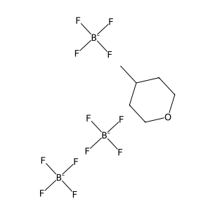 CC1CCOCC1.F[B-](F)(F)F.F[B-](F)(F)F.F[B-](F)(F)F